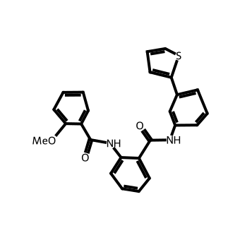 COc1ccccc1C(=O)Nc1ccccc1C(=O)Nc1cccc(-c2cccs2)c1